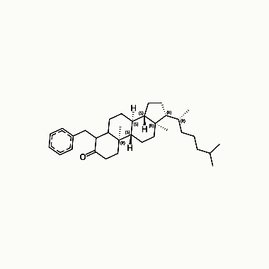 CC(C)CCC[C@@H](C)[C@H]1CC[C@H]2[C@@H]3CCC4C(Cc5ccccc5)C(=O)CC[C@]4(C)[C@H]3CC[C@]12C